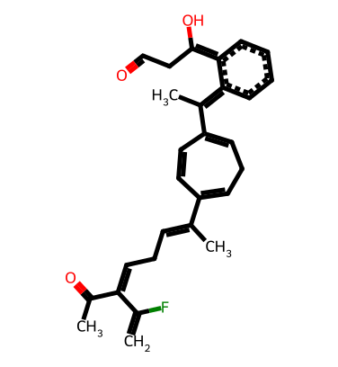 C=C(F)/C(=C\C/C=C(\C)C1=CCC=C(/C(C)=c2\cccc\c2=C(/O)CC=O)C=C1)C(C)=O